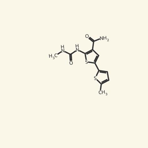 CNC(=O)Nc1sc(-c2ccc(C)s2)cc1C(N)=O